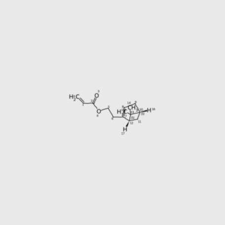 C=CC(=O)OCCC1=CC[C@@H]2C[C@H]1C2(C)C